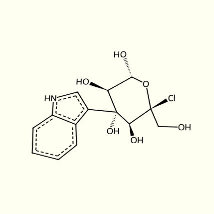 OC[C@@]1(Cl)O[C@@H](O)[C@H](O)[C@](O)(c2c[nH]c3ccccc23)[C@@H]1O